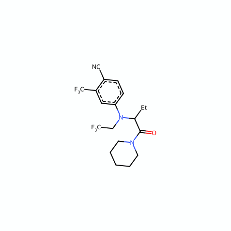 CCC(C(=O)N1CCCCC1)N(CC(F)(F)F)c1ccc(C#N)c(C(F)(F)F)c1